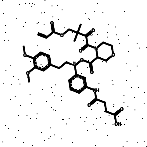 C=CC(=O)OCC(C)(C)C(=O)C(=O)N1CCOCC1C(=O)O[C@H](CCc1ccc(OC)c(OC)c1)c1cccc(NC(=O)CCC(=O)O)c1